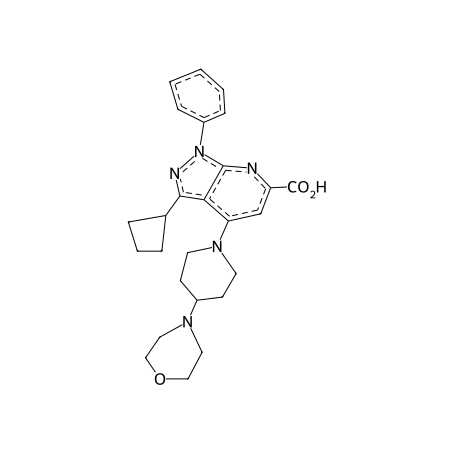 O=C(O)c1cc(N2CCC(N3CCOCC3)CC2)c2c(C3CCC3)nn(-c3ccccc3)c2n1